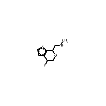 CNCC1OCC(F)c2ccsc21